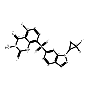 O=c1[nH]c2c(S(=O)(=O)c3ccc4cnn(C5CC5(F)F)c4c3)ccc(Cl)c2c(=O)n1O